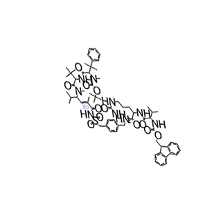 C/C(=C\C(C(C)C)N(C)C(=O)C(NC(=O)C(N(C)C(=O)OC(C)(C)C)C(C)(C)c1ccccc1)C(C)(C)C)C(=O)NS(=O)(=O)Cc1ccc(CNC(=O)C(CCCNC(N)=O)NC(=O)C(NC(=O)OCC2c3ccccc3-c3ccccc32)C(C)C)cc1